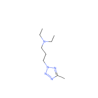 CCN(CC)CCCn1nnc(C)n1